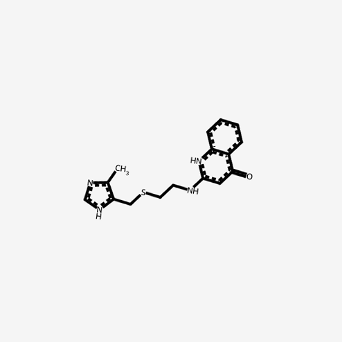 Cc1nc[nH]c1CSCCNc1cc(=O)c2ccccc2[nH]1